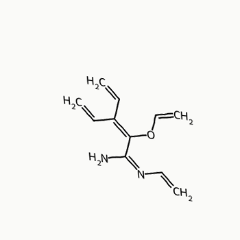 C=C/N=C(/N)C(OC=C)=C(C=C)C=C